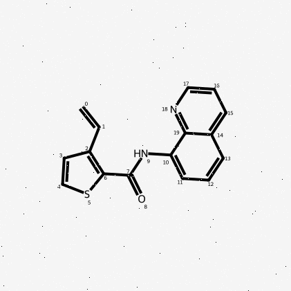 C=Cc1ccsc1C(=O)Nc1cccc2cccnc12